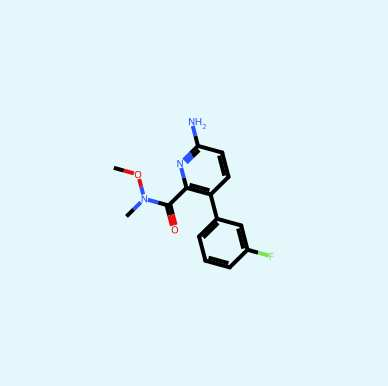 CON(C)C(=O)c1nc(N)ccc1-c1cccc(F)c1